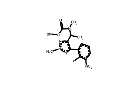 CC(c1nn(C)nc1-c1cccc([N+](=O)[O-])c1F)N(C)C(=O)OC(C)(C)C